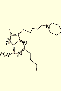 CCCCc1nc(N)c2[nH]c(C)c(CCCCCN3CCCCC3)c2n1